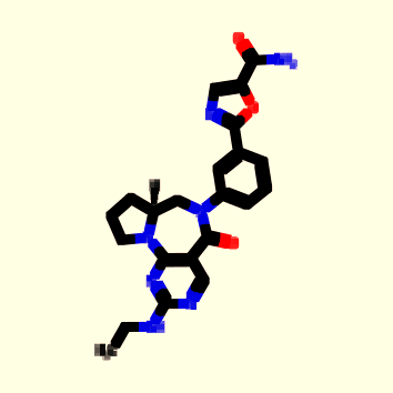 CCNc1ncc2c(n1)N1CCC[C@H]1CN(c1cccc(-c3ncc(C(N)=O)o3)c1)C2=O